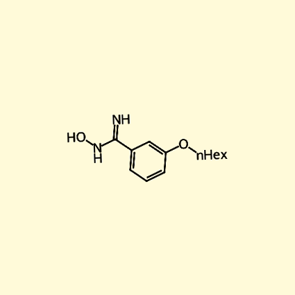 CCCCCCOc1cccc(C(=N)NO)c1